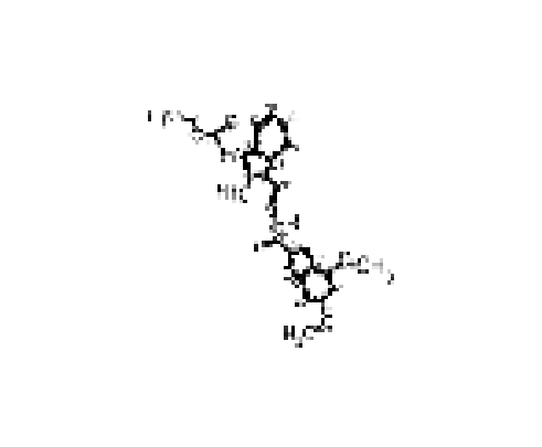 CCOC(=O)Cn1c(C)c(/C=N/NC(=O)c2cc3c(OC)cc(OC)cc3o2)c2ccccc21